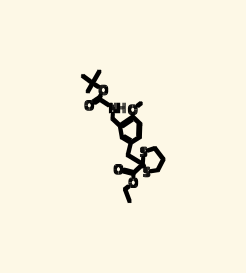 CCOC(=O)C1(Cc2ccc(OC)c(CNC(=O)OC(C)(C)C)c2)SCCCS1